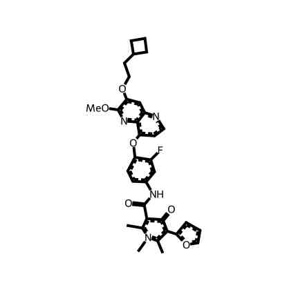 COc1nc2c(Oc3ccc(NC(=O)c4c(C)n(C)c(C)c(-c5ccco5)c4=O)cc3F)ccnc2cc1OCCC1CCC1